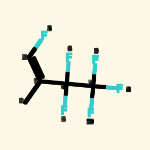 C/C(=C/F)C(F)(F)C(F)(F)F